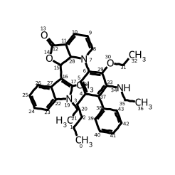 CCCCc1cc(N2C=CC=C3C(=O)OC(c4c(C)n(CC)c5ccccc45)C32)c(OCC)c(NCC)c1-c1ccccc1